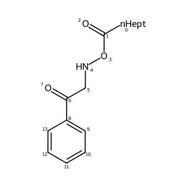 CCCCCCCC(=O)ONCC(=O)c1ccccc1